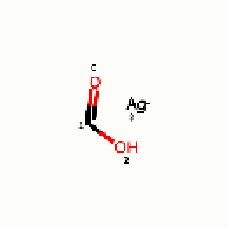 O=CO.[Ag]